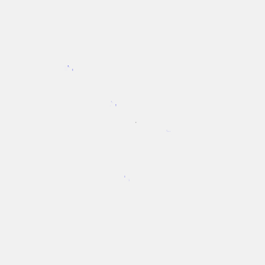 C/C=C(\C(C)N1CCCC1)C(C)(C)N1CCNCC1